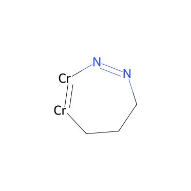 C1CN=[N][Cr]=[Cr][CH2]1